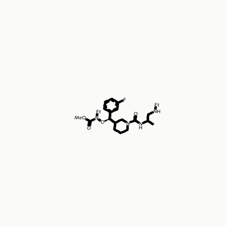 CCNCC(C)NC(=O)N1CCCC([C@@H](ON(CC)C(=O)OC)c2cccc(F)c2)C1